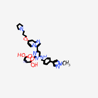 Cn1cc(-c2ccc(CNc3cc(-c4cnc5cc(OCCCN6CCCC6)ccn45)ncn3)cc2)cn1.O=C(O)/C=C\C(=O)O